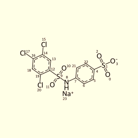 O=S(=O)([O-])c1ccc(NS(=O)(=O)c2cc(Cl)c(Cl)cc2Cl)cc1.[Na+]